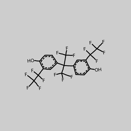 Oc1ccc(C(c2ccc(O)c(C(F)(F)C(F)(F)F)c2)(C(F)(F)F)C(F)(F)F)cc1C(F)(F)C(F)(F)F